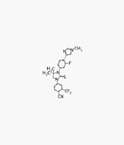 Cn1cnc(-c2ccc(N3C(=S)N(c4ccc(C#N)c(C(F)(F)F)c4)CC3(C)C)cc2F)c1